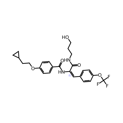 O=C(NCCCO)/C(=C\c1ccc(OC(F)(F)F)cc1)NC(=O)c1ccc(OCCC2CC2)cc1